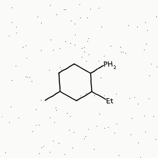 CCC1CC(C)CCC1P